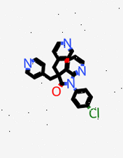 O=C1N(c2ccc(Cl)cc2)c2ncccc2C1(Cc1ccncc1)Cc1ccncc1